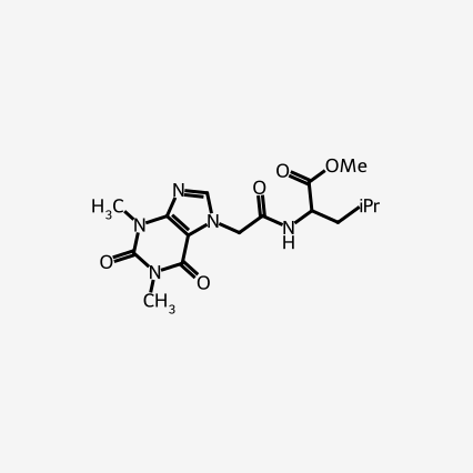 COC(=O)C(CC(C)C)NC(=O)Cn1cnc2c1c(=O)n(C)c(=O)n2C